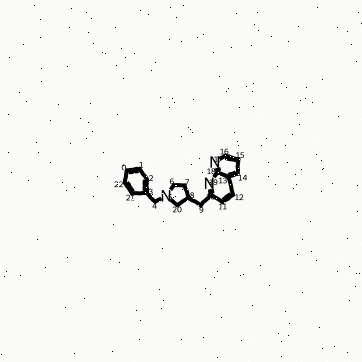 c1ccc(CN2CCC(Cc3ccc4cccnc4n3)C2)cc1